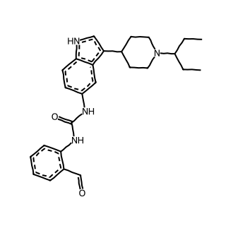 CCC(CC)N1CCC(c2c[nH]c3ccc(NC(=O)Nc4ccccc4C=O)cc23)CC1